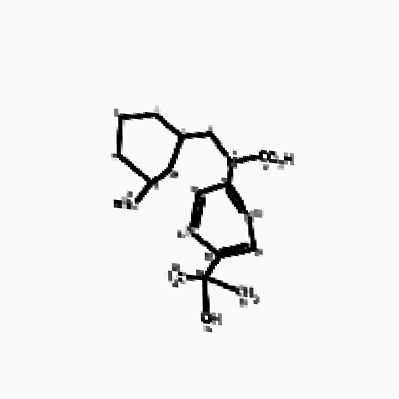 CCCCC1CCCC(CN(C(=O)O)c2cnc(C(C)(C)O)cn2)C1